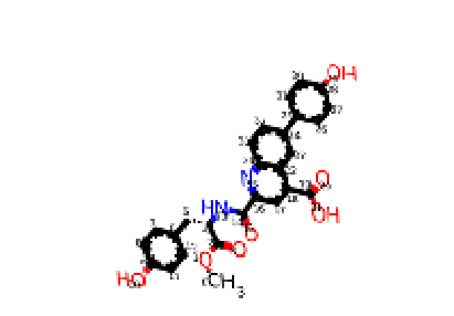 COC(=O)[C@H](Cc1ccc(O)cc1)NC(=O)c1cc(C(=O)O)c2cc(-c3ccc(O)cc3)ccc2n1